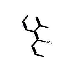 C=C(C)C(/C=C\C)=C(/C=C\C)SC